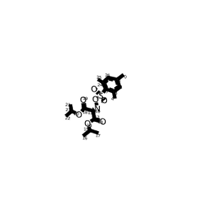 Cc1cc(C)c(S(=O)(=O)ON=C(C(=O)OC(C)C)C(=O)OC(C)C)c(C)c1